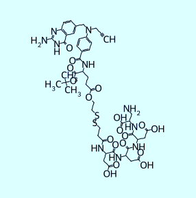 C#CCN(Cc1ccc2nc(N)[nH]c(=O)c2c1)c1ccc(C(=O)NC(CCC(=O)OCCSSCCC(=O)NC(CC(=O)O)C(=O)NC(CC(=O)O)C(=O)NC(CC(=O)O)C(=O)NC(CN)C(=O)O)C(=O)OC(C)(C)C)cc1